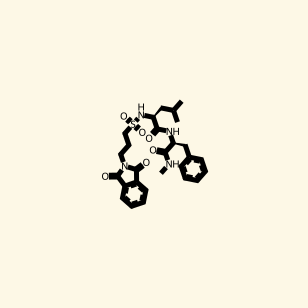 CNC(=O)[C@H](Cc1ccccc1)NC(=O)[C@H](CC(C)C)NS(=O)(=O)CCCN1C(=O)c2ccccc2C1=O